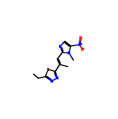 CCc1nnc(C(C)=Cc2ncc([N+](=O)[O-])n2C)s1